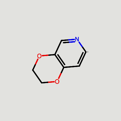 [c]1cc2c(cn1)OCCO2